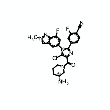 Cn1cc2cc(-n3c(-c4ccc(C#N)c(F)c4)nc(C(=O)N4CCC[C@@H](N)C4)c3Cl)cc(F)c2n1